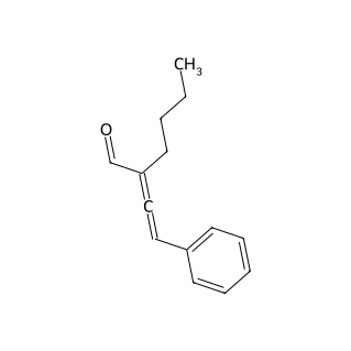 CCCCC(=C=Cc1ccccc1)C=O